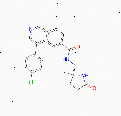 CC1(CNC(=O)c2ccc3cncc(-c4ccc(Cl)cc4)c3c2)CCC(=O)N1